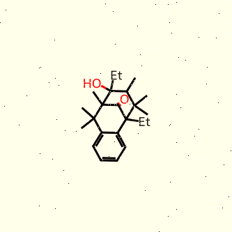 CCC12C(=O)C(C)(C(C)(C)c3ccccc31)C(O)(CC)C(C)C2(C)C